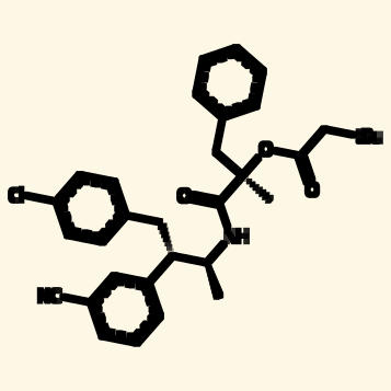 C[C@H](NC(=O)[C@@](C)(Cc1ccccc1)OC(=O)CC(C)(C)C)[C@@H](Cc1ccc(Cl)cc1)c1cccc(C#N)c1